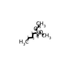 CCCC[Si](I)(OC)OCC